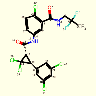 O=C(NCC(F)(F)C(F)(F)F)c1cc(NC(=O)[C@@H]2[C@@H](c3cc(Cl)cc(Cl)c3)C2(Cl)Cl)ccc1Cl